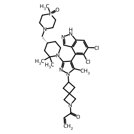 C=CC(=O)N1CC2(CC(n3nc(N4CC[C@@H](CN5CCP(C)(=O)CC5)CC4(C)C)c(-c4c(Cl)c(Cl)cc5[nH]ncc45)c3C)C2)C1